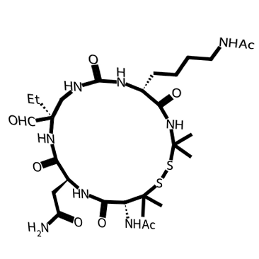 CC[C@]1(C=O)CNC(=O)N[C@H](CCCCNC(C)=O)C(=O)NC(C)(C)SSC(C)(C)[C@H](NC(C)=O)C(=O)N[C@@H](CC(N)=O)C(=O)N1